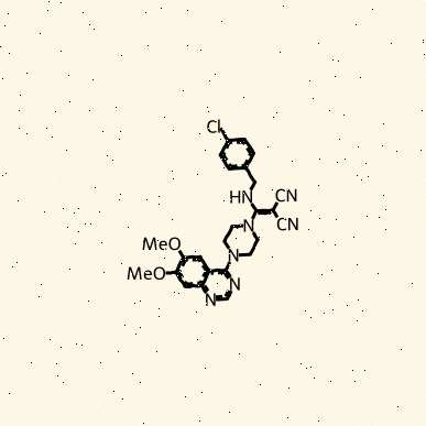 COc1cc2ncnc(N3CCN(C(NCc4ccc(Cl)cc4)=C(C#N)C#N)CC3)c2cc1OC